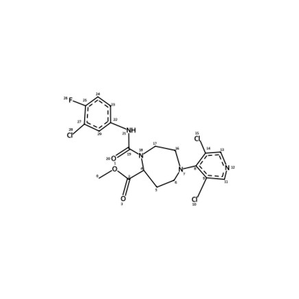 COC(=O)C1CCN(c2c(Cl)cncc2Cl)CCN1C(=O)Nc1ccc(F)c(Cl)c1